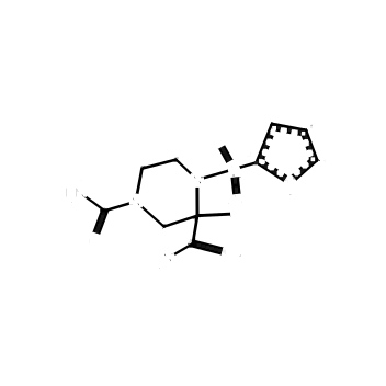 CC1(C(N)=O)CN(C(N)=O)CCN1S(=O)(=O)c1cccs1